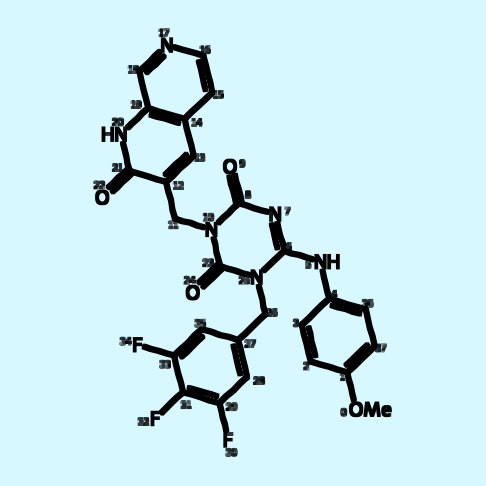 COc1ccc(Nc2nc(=O)n(Cc3cc4ccncc4[nH]c3=O)c(=O)n2Cc2cc(F)c(F)c(F)c2)cc1